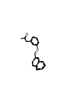 CC(=O)Cc1cccc(OCc2ccc3ccccc3c2)c1